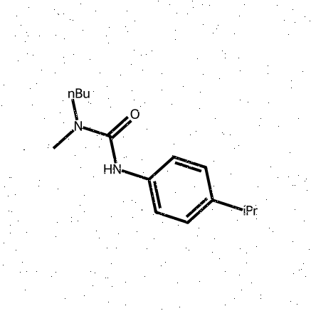 CCCCN(C)C(=O)Nc1ccc(C(C)C)cc1